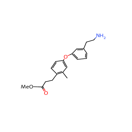 COC(=O)CCc1ccc(Oc2cccc(CCN)c2)cc1C